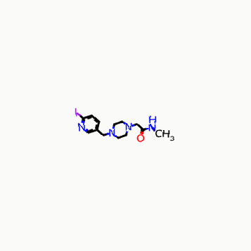 CNC(=O)CN1CCN(Cc2ccc(I)nc2)CC1